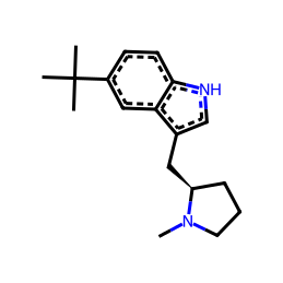 CN1CCC[C@@H]1Cc1c[nH]c2ccc(C(C)(C)C)cc12